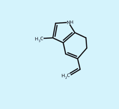 C=CC1=Cc2c(C)c[nH]c2CC1